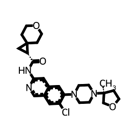 C[C@]1(N2CCN(c3cc4cc(NC(=O)[C@@H]5CC56CCOCC6)ncc4cc3Cl)CC2)CCOC1